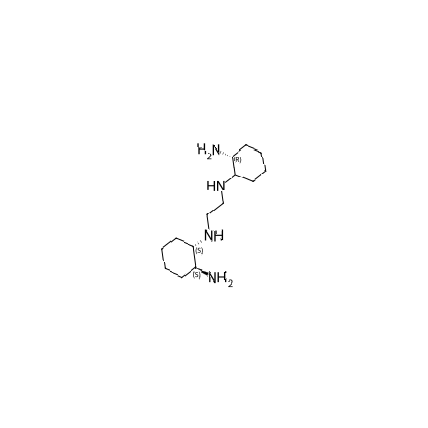 N[C@@H]1CCCCC1NCCN[C@H]1CCCC[C@@H]1N